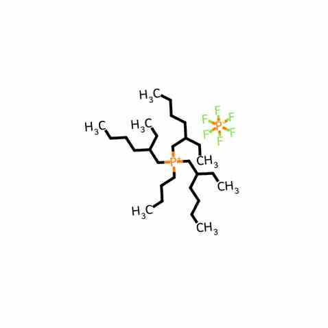 CCCCC(CC)C[P+](CCCC)(CC(CC)CCCC)CC(CC)CCCC.F[P-](F)(F)(F)(F)F